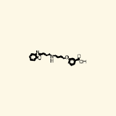 O=C(O)c1cccc(OCCCCNCCCc2nc3ccccc3o2)c1